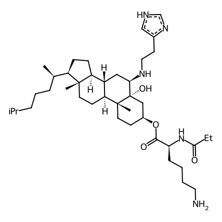 CCC(=O)N[C@@H](CCCCN)C(=O)O[C@H]1CC[C@]2(C)[C@H]3CC[C@]4(C)[C@@H]([C@H](C)CCCC(C)C)CC[C@H]4[C@@H]3C[C@@H](NCCc3c[nH]cn3)[C@@]2(O)C1